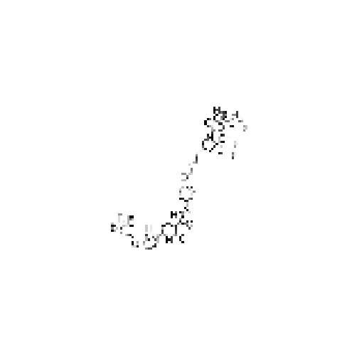 CC(C)(C)OC(=O)N1CC(CCCCOc2ccc(SNC(=O)c3ccc(N4C=CC(OCCC5(C(F)(F)F)CC5)N4)nc3Cl)cn2)CC1(C)C